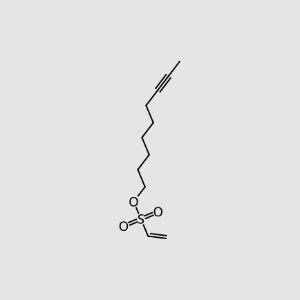 C=CS(=O)(=O)OCCCCCCC#CC